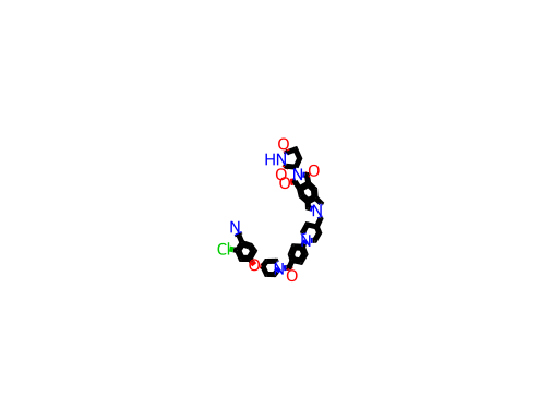 N#Cc1ccc(OC2CCN(C(=O)c3ccc(N4CCC(CN5Cc6cc7c(cc6C5)C(=O)N(C5CCC(=O)NC5=O)C7=O)CC4)cc3)CC2)cc1Cl